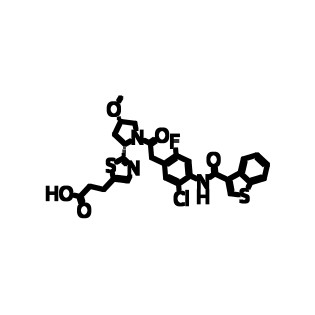 CO[C@H]1C[C@@H](c2ncc(CCC(=O)O)s2)N(C(=O)Cc2cc(Cl)c(NC(=O)c3csc4ccccc34)cc2F)C1